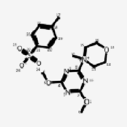 COc1nc(OC)nc([N+]2(C)CCOCC2)n1.Cc1ccc(S(=O)(=O)[O-])cc1